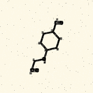 O=CCOC1CCC(C=O)CC1